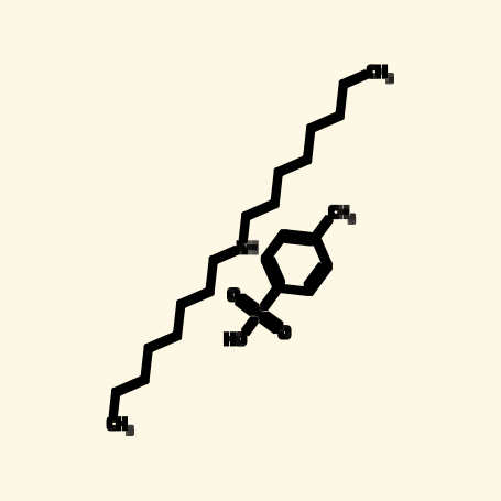 CCCCCCCCNCCCCCCCC.Cc1ccc(S(=O)(=O)O)cc1